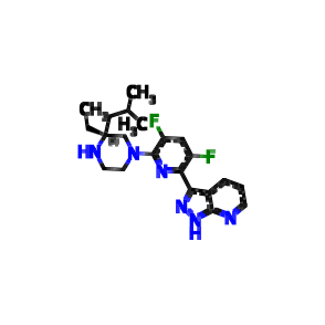 CC[C@@]1(CC(C)C)CN(c2nc(-c3n[nH]c4ncccc34)c(F)cc2F)CCN1